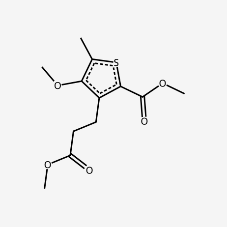 COC(=O)CCc1c(C(=O)OC)sc(C)c1OC